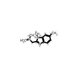 Cc1ccc2nc(CN(C)C)n(C)c2c1